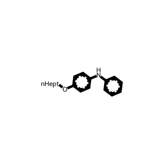 CCCCCCCOc1ccc(Nc2ccccc2)cc1